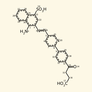 Nc1c(N=Nc2ccc(-c3ccc(C(=O)CCC(=O)O)cc3)nc2)cc(S(=O)(=O)O)c2ccccc12